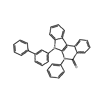 O=c1c2ccccc2c2c3ccccc3n(-c3cccc(-c4ccccc4)c3)c2n1-c1ccccc1